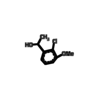 COc1cccc(C(C)O)c1Cl